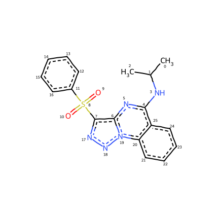 CC(C)Nc1nc2c(S(=O)(=O)c3ccccc3)nnn2c2ccccc12